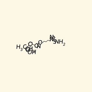 CC(C)c1cccc(-c2ccnc(OCCCCCn3nccc3SN)c2)c1CC(=O)O